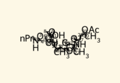 CCCNC(=O)C[C@@H]1C[C@@]2(CO2)[C@H](O)[C@@H](C=CC(C)=CC[C@@H]2O[C@H](C)[C@H](NC(=O)C=CC(C)OC(C)=O)C[C@@H]2C)O1